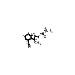 CNC(=O)OCc1oc2cccc(C#N)c2c1C